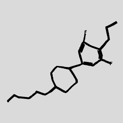 CCCCCC1CCC(c2cc(F)c(CCC)c(F)c2)CC1